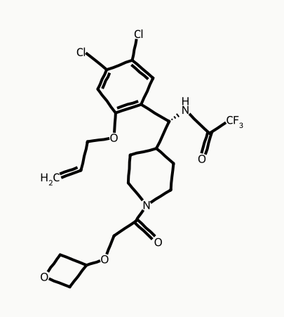 C=CCOc1cc(Cl)c(Cl)cc1[C@H](NC(=O)C(F)(F)F)C1CCN(C(=O)COC2COC2)CC1